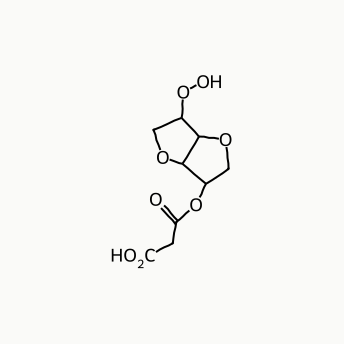 O=C(O)CC(=O)OC1COC2C(OO)COC12